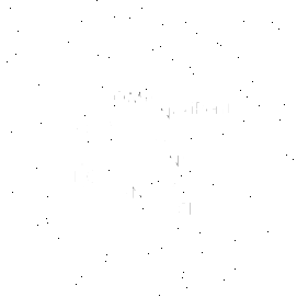 CCCC(C)Nc1nc(Cl)nc(C)c1C(=O)OC